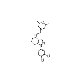 CC1CN(C/C=C2/CCCc3c2cnn3-c2ccc(Cl)c(Cl)c2)CC(C)O1